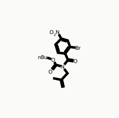 C=C(C)CN(C(=O)OCCCC)C(=O)c1ccc([N+](=O)[O-])cc1Br